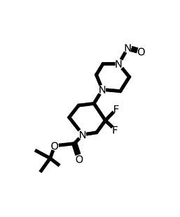 CC(C)(C)OC(=O)N1CCC(N2CCN(N=O)CC2)C(F)(F)C1